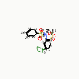 CCS(=O)(=O)c1ccc(Cl)cc1N(C(F)(F)F)S(=O)(=O)c1ccccc1